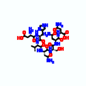 CC(C)[C@H](NC(=O)[C@H](Cc1c[nH]cn1)NC(=O)[C@@H](N)CC(=O)O)C(=O)N[C@@H](CC(N)=O)C(=O)N[C@@H](CO)C(=O)N[C@@H](CC(N)=O)C(=O)N[C@@H](CC(N)=O)C(=O)O